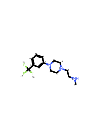 CNCCN1CCN(c2cccc(C(F)(F)F)c2)CC1